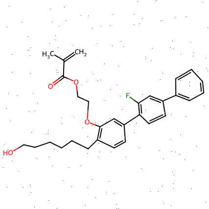 C=C(C)C(=O)OCCOc1cc(-c2ccc(-c3ccccc3)cc2F)ccc1CCCCCCO